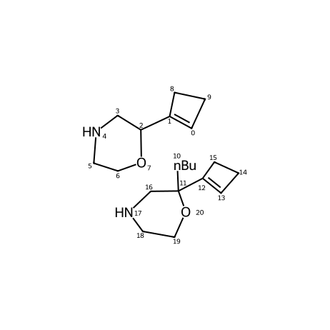 C1=C(C2CNCCO2)CC1.CCCCC1(C2=CCC2)CNCCO1